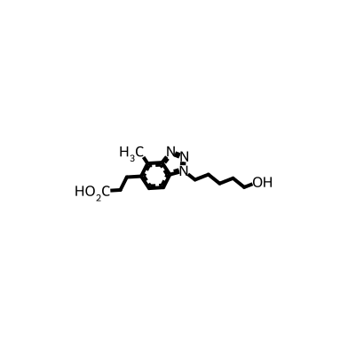 Cc1c(CCC(=O)O)ccc2c1nnn2CCCCCO